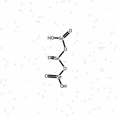 O=[Se](O)O[Se](=O)O[Se](=O)O